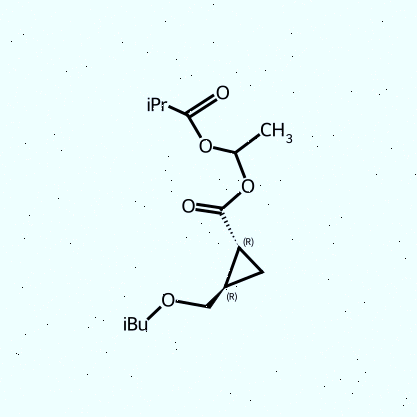 CCC(C)OC[C@@H]1C[C@H]1C(=O)OC(C)OC(=O)C(C)C